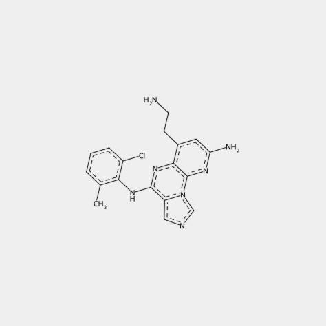 Cc1cccc(Cl)c1Nc1nc2c(CCN)cc(N)nc2n2cncc12